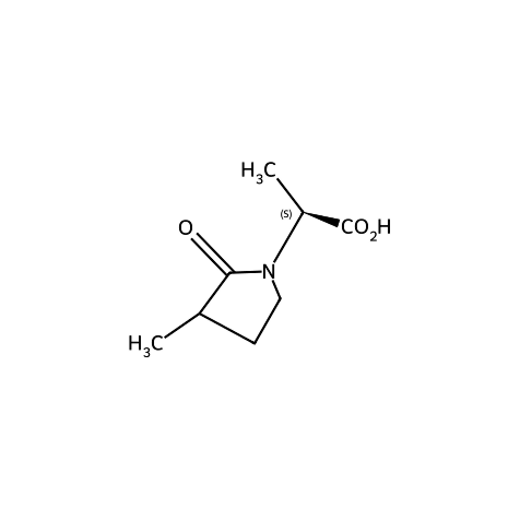 CC1CCN([C@@H](C)C(=O)O)C1=O